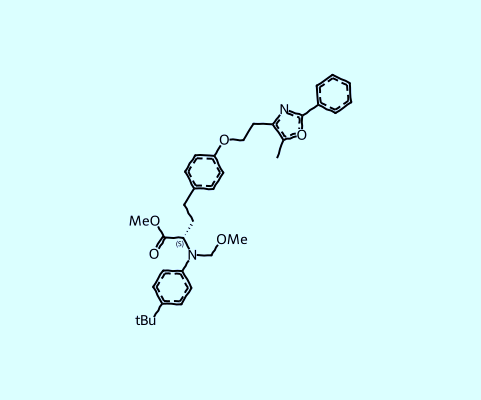 COCN(c1ccc(C(C)(C)C)cc1)[C@@H](CCc1ccc(OCCc2nc(-c3ccccc3)oc2C)cc1)C(=O)OC